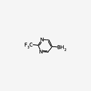 Bc1cnc(C(F)(F)F)nc1